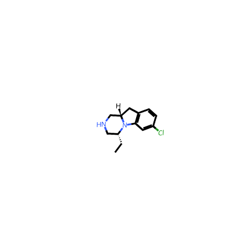 CC[C@@H]1CNC[C@@H]2Cc3ccc(Cl)cc3N12